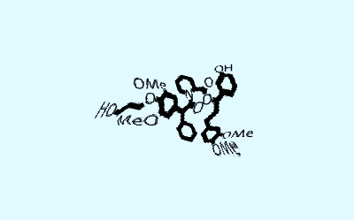 COc1ccc(CCC(OC(=O)C2CCCCN2C(=O)C(c2cc(OC)c(OCCCO)c(OC)c2)C2CCCCC2)c2cccc(O)c2)cc1OC